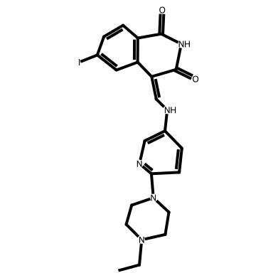 CCN1CCN(c2ccc(NC=C3C(=O)NC(=O)c4ccc(I)cc43)cn2)CC1